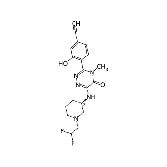 C#Cc1ccc(-c2nnc(N[C@@H]3CCCN(CC(F)F)C3)c(=O)n2C)c(O)c1